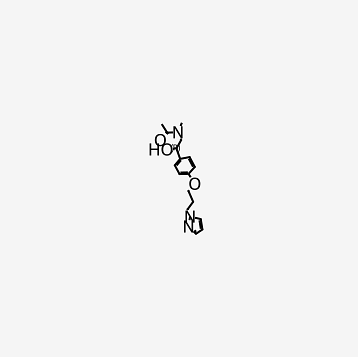 CC(=O)N(C)C[C@H](O)c1ccc(OCCCn2cccn2)cc1